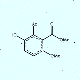 COC(=O)c1c(OC)ccc(O)c1C(C)=O